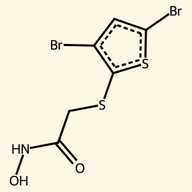 O=C(CSc1sc(Br)cc1Br)NO